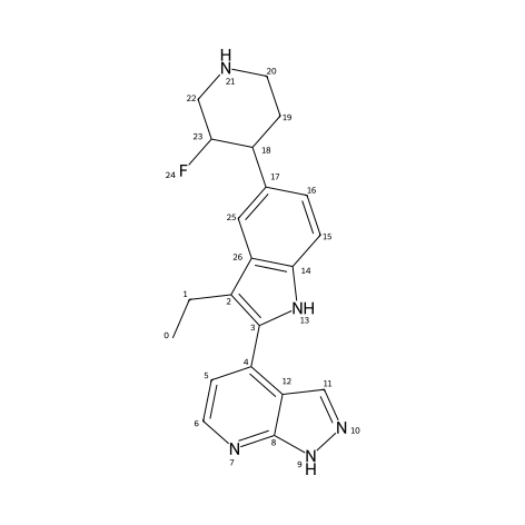 CCc1c(-c2ccnc3[nH]ncc23)[nH]c2ccc(C3CCNCC3F)cc12